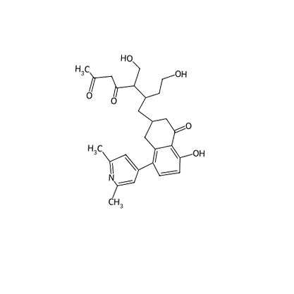 CC(=O)CC(=O)C(CO)C(CCO)CC1CC(=O)c2c(O)ccc(-c3cc(C)nc(C)c3)c2C1